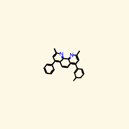 Cc1cc(C2=CC(C)CC=C2)c2ccc3c(-c4ccccc4)cc(C)nc3c2n1